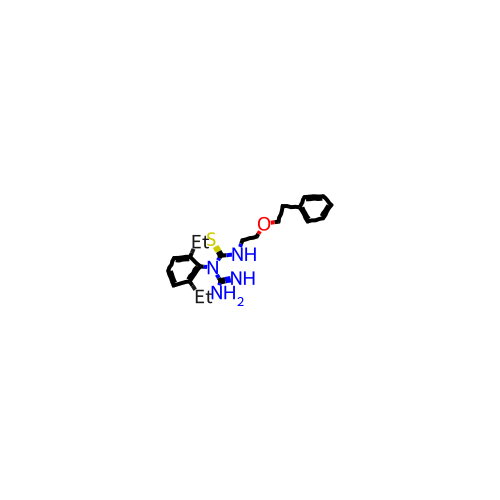 CCc1cccc(CC)c1N(C(=N)N)C(=S)NCCOCCc1ccccc1